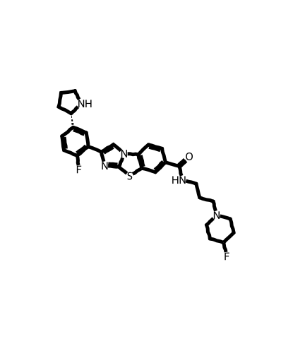 O=C(NCCCN1CCC(F)CC1)c1ccc2c(c1)sc1nc(-c3cc([C@@H]4CCCN4)ccc3F)cn12